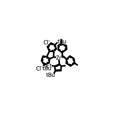 CCC1=[C]([Zr+2](=[C](c2ccc(C)cc2)c2ccc(C)cc2)[CH]2c3cc(C(C)(C)C)ccc3-c3ccc(C(C)(C)C)cc32)C(C)C=C1C(C)(C)C.[Cl-].[Cl-]